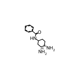 N[C@@H]1CC(NC(=O)c2ccccc2)CC[C@@H]1N